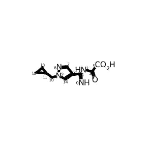 N=C(NC(=O)C(=O)O)c1cnn(CC2CC2)c1